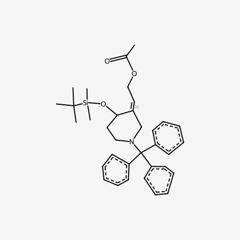 CC(=O)OC/C=C1/CN(C(c2ccccc2)(c2ccccc2)c2ccccc2)CCC1O[Si](C)(C)C(C)(C)C